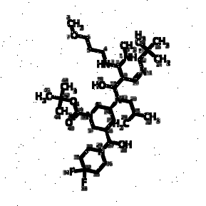 CNC(NCCCOC)C(/C=N\CC(C)(C)C)C(O)N(CC(C)C)[C@H]1C[C@@H](C(O)N2CCC(F)(F)CC2)CN(C(=O)OC(C)(C)C)C1